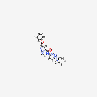 CN(C)c1ccc(N2CCn3nc(COc4ccccc4)cc3C2=O)nn1